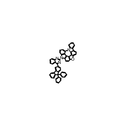 c1ccc(C2(c3ccccc3)c3ccccc3-c3cc(-c4nc(-n5c6ccc7oc8ccc9c%10ccccc%10n%10c%11cccc5c%11c6c7c8c9%10)nc5ccccc45)ccc32)cc1